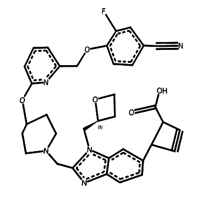 N#Cc1ccc(OCc2cccc(OC3CCN(Cc4nc5ccc(C6C#CC6C(=O)O)cc5n4C[C@@H]4CCO4)CC3)n2)c(F)c1